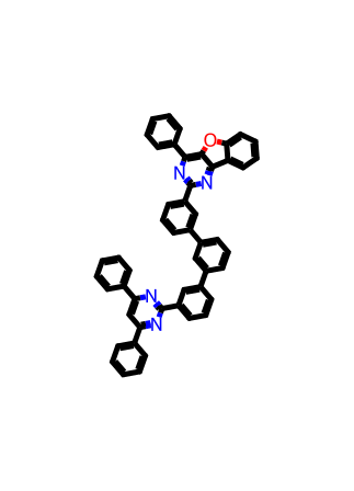 c1ccc(-c2cc(-c3ccccc3)nc(-c3cccc(-c4cccc(-c5cccc(-c6nc(-c7ccccc7)c7oc8ccccc8c7n6)c5)c4)c3)n2)cc1